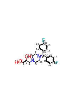 OC=C(O)CN1CCN(C(c2ccc(F)cc2)c2ccc(F)cc2)CC1